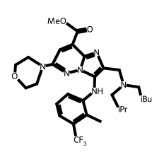 CCC(C)CN(Cc1nc2c(C(=O)OC)cc(N3CCOCC3)nn2c1Nc1cccc(C(F)(F)F)c1C)CC(C)C